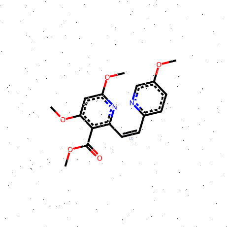 COC(=O)c1c(OC)cc(OC)nc1/C=C\c1ccc(OC)cn1